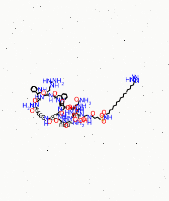 CCCC[C@H](NC(=O)[C@H](CN)NC(=O)[C@H](Cc1c[nH]cn1)NC(=O)[C@@H](CCC(N)=O)NC(=O)[C@H](CO)NC(=O)CNC(=O)CCCS(=O)(=O)NC(=O)CCCCCCCCCCCCCCCc1nnn[nH]1)C(=O)N[C@H]1CCC(=O)NCCCC[C@@H](C(N)=O)NC(=O)[C@H](Cc2c[nH]c3ccccc23)NC(=O)[C@H](CCCNC(=N)N)NC(=O)[C@@H](Cc2ccccc2)NC(=O)[C@@H]2C[C@@H](O)CN2C1=O